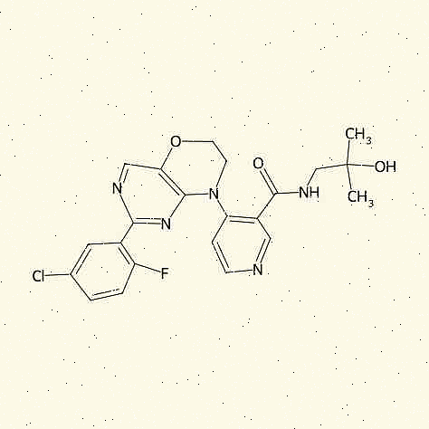 CC(C)(O)CNC(=O)c1cnccc1N1CCOc2cnc(-c3cc(Cl)ccc3F)nc21